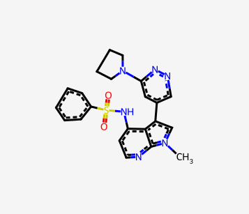 Cn1cc(-c2cnnc(N3CCCC3)c2)c2c(NS(=O)(=O)c3ccccc3)ccnc21